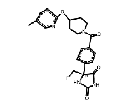 Cc1ccc(OC2CCN(C(=O)c3ccc([C@@]4(CF)NC(=O)NC4=O)cc3)CC2)nc1